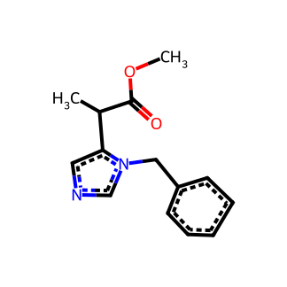 COC(=O)C(C)c1cncn1Cc1ccccc1